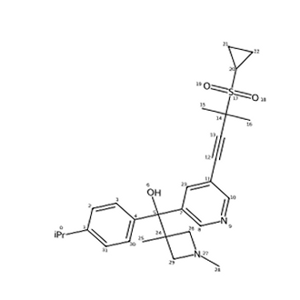 CC(C)c1ccc(C(O)(c2cncc(C#CC(C)(C)S(=O)(=O)C3CC3)c2)C2(C)CN(C)C2)cc1